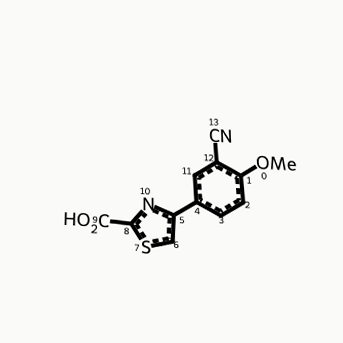 COc1ccc(-c2csc(C(=O)O)n2)cc1C#N